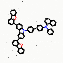 c1ccc(N(c2ccc(-c3ccc(-n4c5ccc(-c6cccc7c6oc6ccccc67)cc5c5cc(-c6cccc7c6oc6ccccc67)ccc54)cc3)cc2)c2cccc3ccccc23)cc1